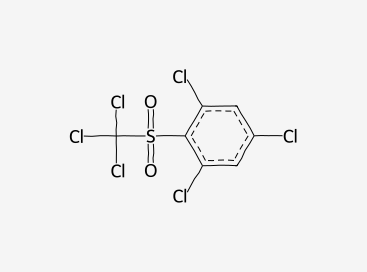 O=S(=O)(c1c(Cl)cc(Cl)cc1Cl)C(Cl)(Cl)Cl